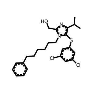 CC(C)c1nc(CO)n(CCCCCCc2ccccc2)c1Sc1cc(Cl)cc(Cl)c1